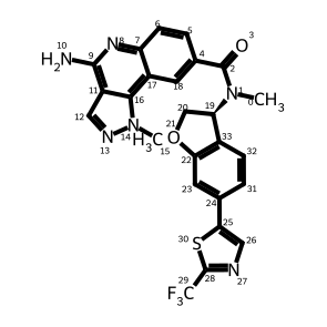 CN(C(=O)c1ccc2nc(N)c3cnn(C)c3c2c1)[C@@H]1COc2cc(-c3cnc(C(F)(F)F)s3)ccc21